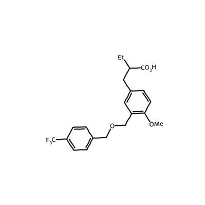 CCC(Cc1ccc(OC)c(COCc2ccc(C(F)(F)F)cc2)c1)C(=O)O